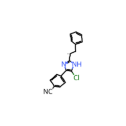 N#Cc1ccc(-c2nc([CH]Cc3ccccc3)[nH]c2Cl)cc1